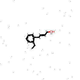 CCc1ccccc1CC=CCO